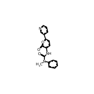 CN(C(=O)Nc1ccc(-c2cccnc2)oc1=O)c1ccccc1